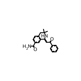 CC1(C)Cc2ccc(C(N)=O)cc2/C(=C/C(=O)c2ccccc2)N1